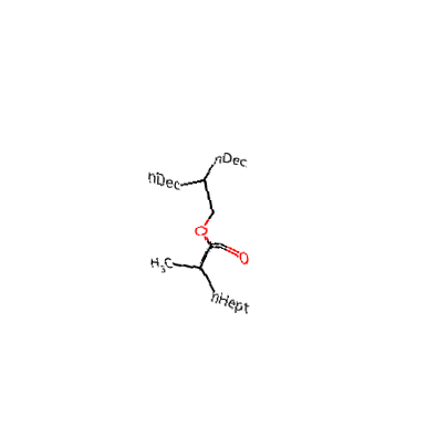 CCCCCCCCCCC(CCCCCCCCCC)COC(=O)C(C)CCCCCCC